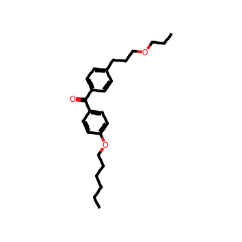 CCCCCCOc1ccc(C(=O)c2ccc(CCCOCCC)cc2)cc1